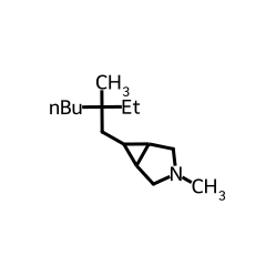 CCCCC(C)(CC)CC1C2CN(C)CC21